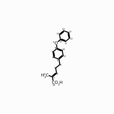 CC(=CCCc1ccc(Oc2ccccc2)cc1)C(=O)O